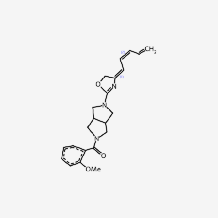 C=C/C=C\C=C1/COC(N2CC3CN(C(=O)c4ccccc4OC)CC3C2)=N1